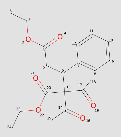 CCOC(=O)CC(c1ccccc1)C(C(C)=O)(C(C)=O)C(=O)OCC